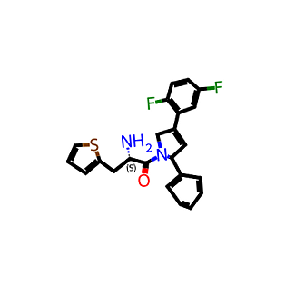 N[C@@H](Cc1cccs1)C(=O)N1CC(c2cc(F)ccc2F)=CC1c1ccccc1